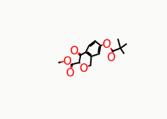 COC(=O)C1OCc2cc(OC(=O)C(C)(C)C)ccc2C1=O